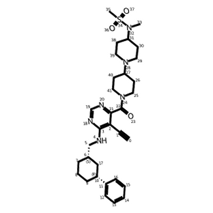 C#Cc1c(NC[C@H]2CCC[C@@H](c3ccccc3)C2)ncnc1C(=O)N1CCC(N2CCC(N(C)S(C)(=O)=O)CC2)CC1